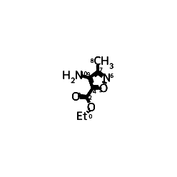 CCOC(=O)c1onc(C)c1N